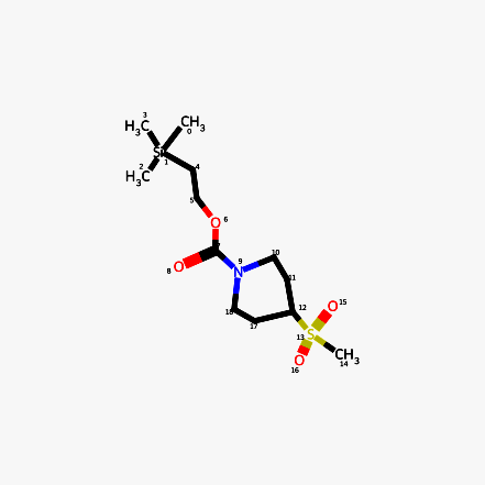 C[Si](C)(C)CCOC(=O)N1CCC(S(C)(=O)=O)CC1